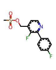 CS(=O)(=O)OCc1ccnc(-c2ccc(F)cc2)c1F